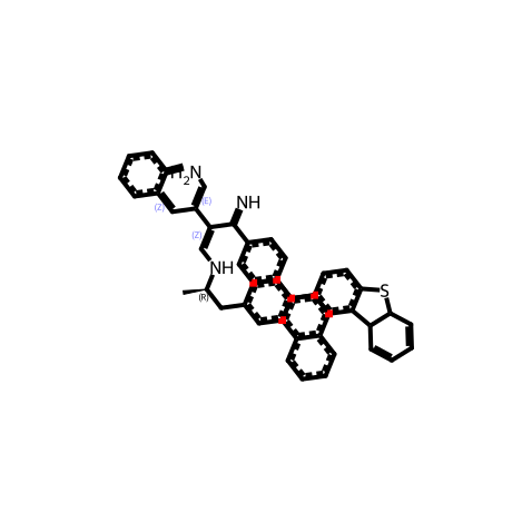 C=c1cccc/c1=C/C(=C\N)C(=C/N[C@H](C)Cc1ccc(-c2ccc3c(c2)C2C=CC=CC2S3)cc1)/C(=N)c1ccc(-c2ccc3ccccc3c2)cc1